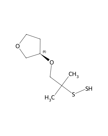 CC(C)(CO[C@@H]1CCOC1)SS